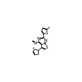 C=Nc1nc(-c2ccc(C)s2)nc2scc(C3CC=CS3)c12